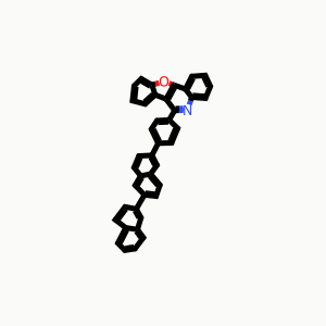 c1ccc2cc(-c3ccc4cc(-c5ccc(-c6nc7ccccc7c7oc8ccccc8c67)cc5)ccc4c3)ccc2c1